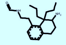 CCCC1(CCC)c2c(CCNC=O)cccc2CCC1N